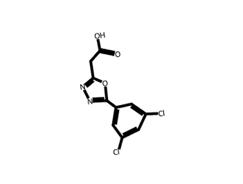 O=C(O)Cc1nnc(-c2cc(Cl)cc(Cl)c2)o1